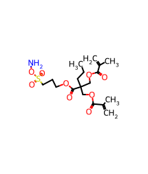 C=C(C)C(=O)OCC(CCC)(COC(=O)C(=C)C)C(=O)OCCCS(=O)(=O)ON